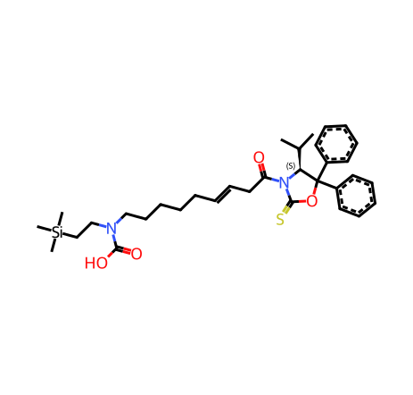 CC(C)[C@@H]1N(C(=O)CC=CCCCCCN(CC[Si](C)(C)C)C(=O)O)C(=S)OC1(c1ccccc1)c1ccccc1